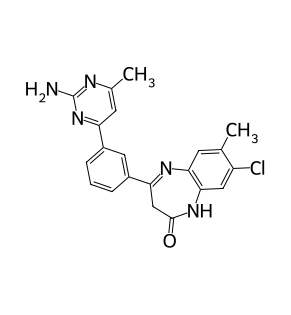 Cc1cc(-c2cccc(C3=Nc4cc(C)c(Cl)cc4NC(=O)C3)c2)nc(N)n1